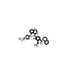 C#Cc1cc(Nc2ncnc3cccc(OC4CCN(C)CC4)c23)ccc1C(=O)N1CCCC2CCCCC21